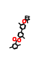 CCC(C)(C)Oc1ccc(-c2ccc(OC(=O)c3cc(C)ccc3C)c(C)c2)cc1C